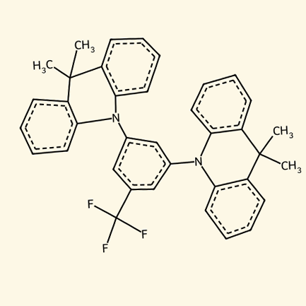 CC1(C)c2ccccc2N(c2cc(N3c4ccccc4C(C)(C)c4ccccc43)cc(C(F)(F)F)c2)c2ccccc21